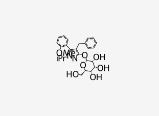 COc1ccccc1-c1c(Cc2ccccc2)c(O[C@@H]2O[C@H](CO)[C@@H](O)[C@H](O)[C@H]2O)nn1C(C)C